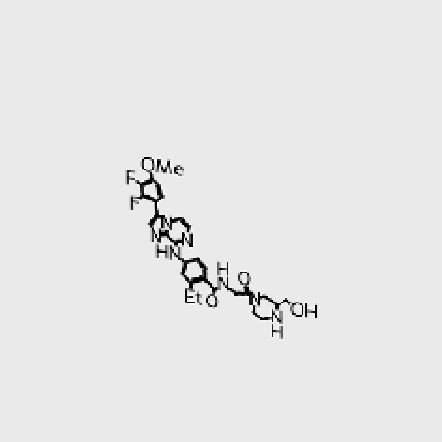 CCc1cc(Nc2nccn3c(-c4ccc(OC)c(F)c4F)cnc23)ccc1C(=O)NCC(=O)N1CCN[C@H](CO)C1